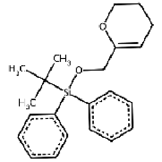 CC(C)(C)[Si](OCC1=CCCCO1)(c1ccccc1)c1ccccc1